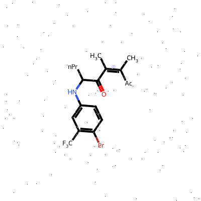 CCCC(Nc1ccc(Br)c(C(F)(F)F)c1)C(=O)/C(C)=C(/C)C(C)=O